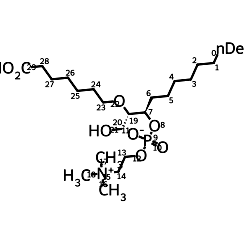 CCCCCCCCCCCCCCCC[C@@H](OP(=O)([O-])OCC[N+](C)(C)C)[C@H](CO)OCCCCCCC(=O)O